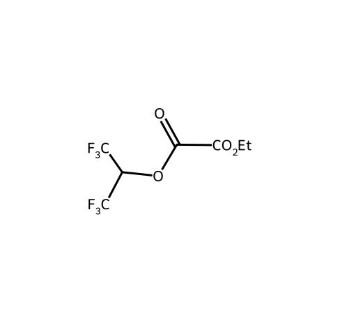 CCOC(=O)C(=O)OC(C(F)(F)F)C(F)(F)F